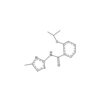 Cc1csc(NC(=O)c2ccccc2OC(C)C)n1